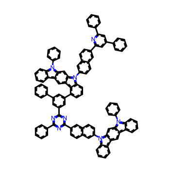 c1ccc(-c2cc(-c3nc(-c4ccccc4)nc(-c4ccc5cc(-n6c7ccccc7c7cc8c9ccccc9n(-c9ccccc9)c8cc76)ccc5c4)n3)cc(-c3cccc4c3c3cc5c6ccccc6n(-c6ccccc6)c5cc3n4-c3ccc4cc(-c5cc(-c6ccccc6)cc(-c6ccccc6)n5)ccc4c3)c2)cc1